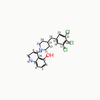 Oc1cccc2nccc(N3CCC(Cc4cc(Cl)c(Cl)c(Cl)c4)CC3)c12